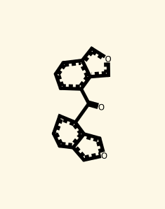 O=C(c1cccc2cocc12)c1cccc2cocc12